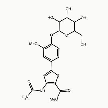 COC(=O)c1sc(-c2ccc(OC3OC(CO)C(O)C(O)C3O)c(OC)c2)cc1NC(N)=O